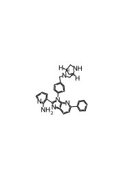 Nc1ncccc1-c1nc2ccc(-c3ccccc3)nc2n1-c1ccc(CN2C[C@@H]3C[C@H]2CN3)cc1